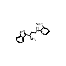 COc1cccnc1NCCC(N)c1nsc2ccccc12